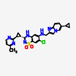 Cc1ccnc([C@H]2C[C@@H]2C2=NS(=O)(=O)c3cc(Cl)c(NCc4cn5cc(C6CC6)ccc5n4)cc3N2)n1